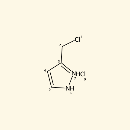 Cl.ClCc1cc[nH]n1